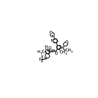 CCN(c1cc(-c2ccc(N3CCOCC3)nc2)cc(C(=O)NCc2c3c(c(C)[nH]c2=O)CN(CC(F)(F)F)CC3)c1C)C1CCOCC1